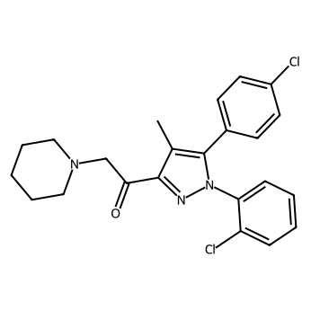 Cc1c(C(=O)CN2CCCCC2)nn(-c2ccccc2Cl)c1-c1ccc(Cl)cc1